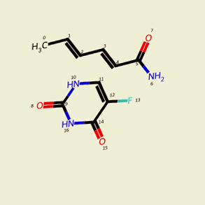 CC=CC=CC(N)=O.O=c1[nH]cc(F)c(=O)[nH]1